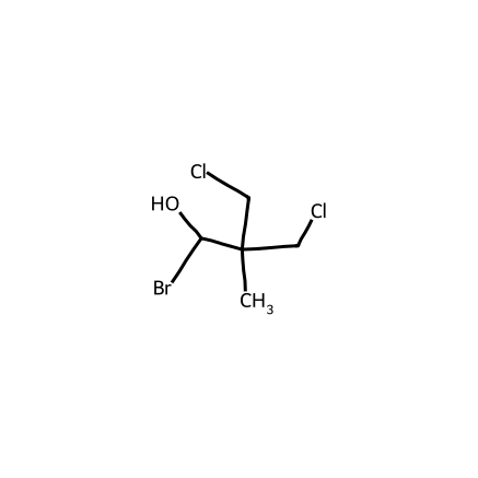 CC(CCl)(CCl)C(O)Br